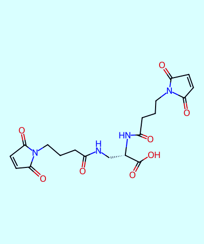 O=C(CCCN1C(=O)C=CC1=O)NC[C@H](NC(=O)CCCN1C(=O)C=CC1=O)C(=O)O